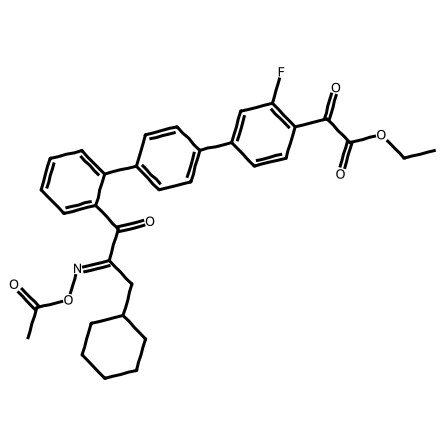 CCOC(=O)C(=O)c1ccc(-c2ccc(-c3ccccc3C(=O)C(CC3CCCCC3)=NOC(C)=O)cc2)cc1F